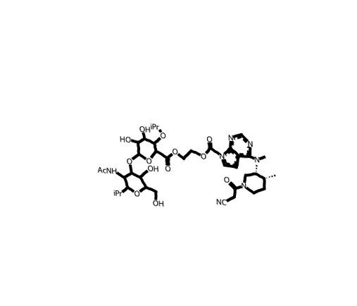 CC(=O)NC1C(C(C)C)OC(CO)C(O)C1OC1OC(C(=O)OCCOC(=O)n2ccc3c(N(C)[C@H]4CN(C(=O)CC#N)CC[C@H]4C)ncnc32)C(OC(C)C)C(O)C1O